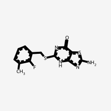 Cc1cccc(CSc2nc(=O)c3sc(N)nc3[nH]2)c1F